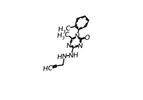 C#CCNNc1nc(C)n(-c2ccccc2C)c(=O)n1